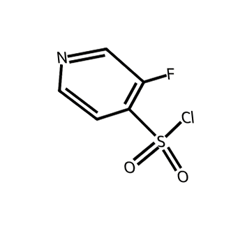 O=S(=O)(Cl)c1ccncc1F